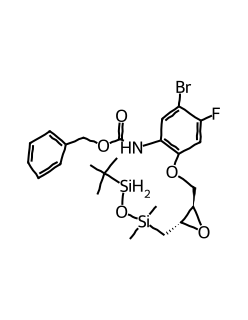 CC(C)(C)[SiH2]O[Si](C)(C)C[C@H]1O[C@@H]1COc1cc(F)c(Br)cc1NC(=O)OCc1ccccc1